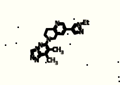 CCn1cc(-c2cnc3c(c2)CN(c2nn4cnnc4c(C)c2C)CC3)cn1